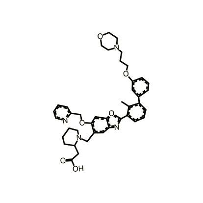 Cc1c(-c2cccc(OCCCN3CCOCC3)c2)cccc1-c1nc2cc(CN3CCCCC3CC(=O)O)c(OCc3ccccn3)cc2o1